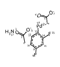 CC(=O)[O-].CC(=O)[O-].Fc1cc[c]([Pd+2])c(F)c1.N